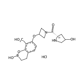 Cl.O=C(O)c1c(OC2CN(C(=O)[C@@H]3CC(O)CN3)C2)ccc2c1OB(O)CC2